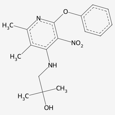 Cc1nc(Oc2ccccc2)c([N+](=O)[O-])c(NCC(C)(C)O)c1C